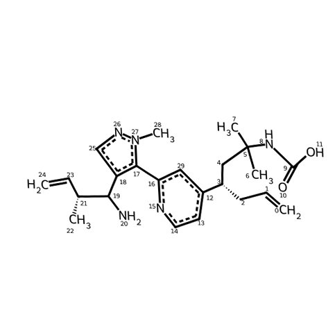 C=CC[C@@H](CC(C)(C)NC(=O)O)c1ccnc(-c2c(C(N)[C@H](C)C=C)cnn2C)c1